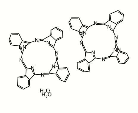 O.O.c1ccc2c(c1)-c1nc-2nc2[nH]c(nc3nc(nc4[nH]c(n1)c1ccccc41)-c1ccccc1-3)c1ccccc21.c1ccc2c(c1)-c1nc-2nc2[nH]c(nc3nc(nc4[nH]c(n1)c1ccccc41)-c1ccccc1-3)c1ccccc21